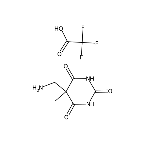 CC1(CN)C(=O)NC(=O)NC1=O.O=C(O)C(F)(F)F